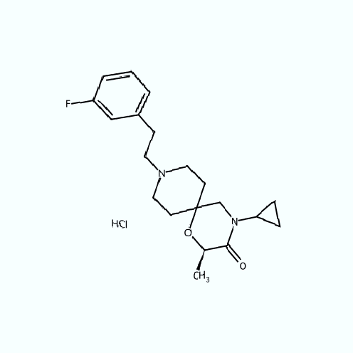 C[C@H]1OC2(CCN(CCc3cccc(F)c3)CC2)CN(C2CC2)C1=O.Cl